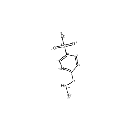 CCS(=O)(=O)c1ccc(CNC(C)C)nc1